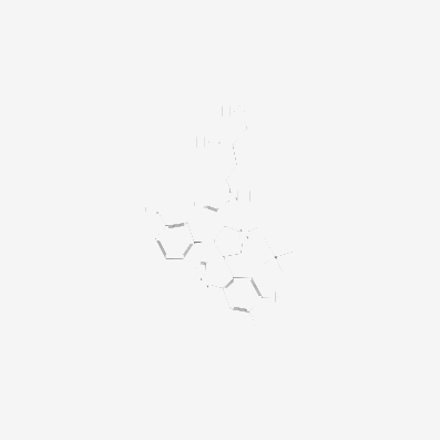 CN1[C@@H](C(=O)NCC[C@H](O)CO)[C@H](c2cccc(Cl)c2)[C@@]2(C(=O)Nc3cc(Cl)c(F)cc32)[C@H]1CC(C)(C)C